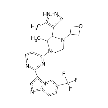 Cc1[nH]ncc1C1C(C)N(c2ccnc(-c3cnc4ccc(C(F)(F)F)cn34)n2)CCN1C1COC1